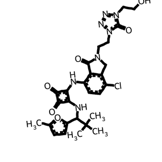 Cc1ccc(C(Nc2c(Nc3ccc(Cl)c4c3C(=O)N(CCn3nnn(CCO)c3=O)C4)c(=O)c2=O)C(C)(C)C)o1